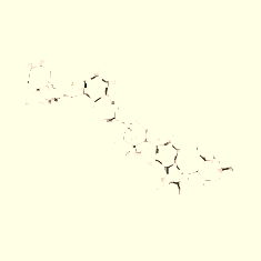 Cn1c(=O)n(C2CCC(=O)NC2=O)c2ccc([C@@H]3CCN(C(=O)Nc4cccc(CS(=O)(=O)N5CCCCC5(C)C)c4)CC3(F)F)cc21